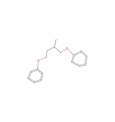 [CH2]C(CCOc1ccccc1)COc1ccccc1